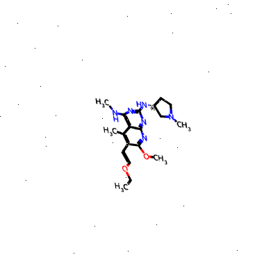 CCOC=Cc1c(OC)nc2nc(N[C@@H]3CCN(C)C3)nc(NC)c2c1C